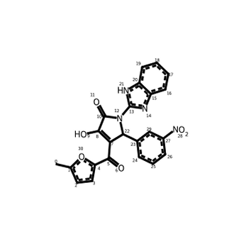 Cc1ccc(C(=O)C2=C(O)C(=O)N(c3nc4ccccc4[nH]3)C2c2cccc([N+](=O)[O-])c2)o1